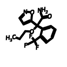 CCCOC(C(N)=O)(c1ccno1)c1ccccc1C(F)(F)F